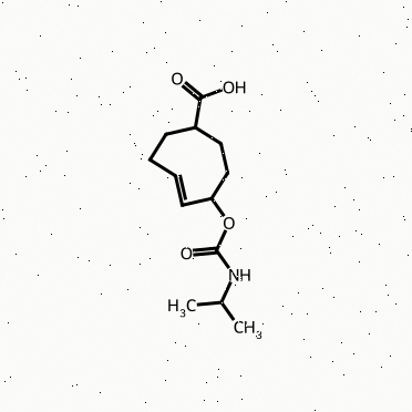 CC(C)NC(=O)OC1/C=C/CCC(C(=O)O)CC1